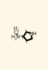 [CH2-][NH2+]C1CCNC1